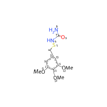 COc1cc(CSNC(N)=O)cc(OC)c1OC